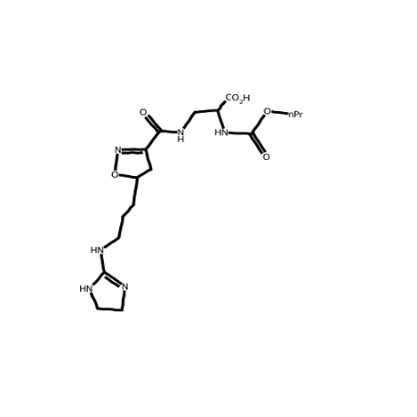 CCCOC(=O)NC(CNC(=O)C1=NOC(CCCNC2=NCCN2)C1)C(=O)O